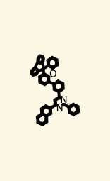 c1ccc(-c2nc(-c3cccc(-c4cccc5c4Oc4ccccc4C54c5ccccc5-c5ccccc54)c3)cc(-c3ccc4ccccc4c3)n2)cc1